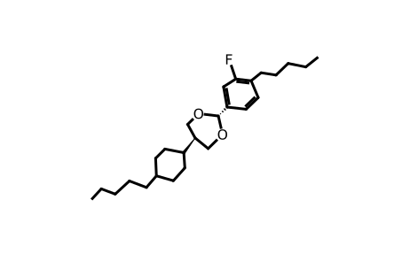 CCCCCc1ccc([C@H]2OC[C@H](C3CCC(CCCCC)CC3)CO2)cc1F